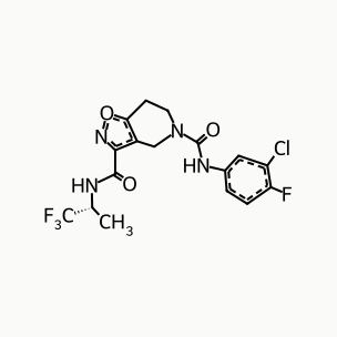 C[C@@H](NC(=O)c1noc2c1CN(C(=O)Nc1ccc(F)c(Cl)c1)CC2)C(F)(F)F